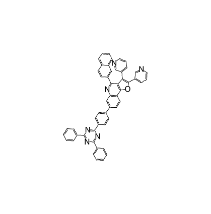 c1ccc(-c2nc(-c3ccccc3)nc(-c3ccc(-c4ccc5c(c4)nc(-c4ccc6ccccc6c4)c4c(-c6cccnc6)c(-c6cccnc6)oc45)cc3)n2)cc1